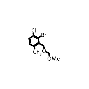 COCOCc1c(C(F)(F)F)ccc(Cl)c1Br